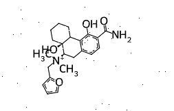 C[N+](C)(Cc1ccco1)[C@@H]1Cc2ccc(C(N)=O)c(O)c2C2CCCC[C@]21O